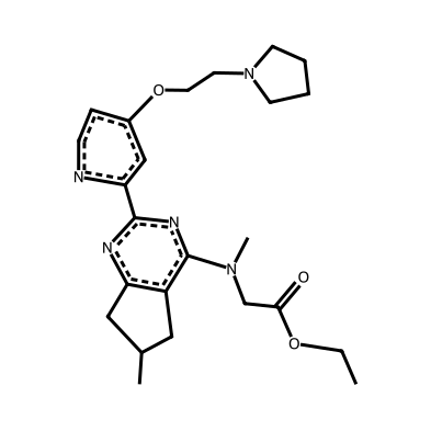 CCOC(=O)CN(C)c1nc(-c2cc(OCCN3CCCC3)ccn2)nc2c1CC(C)C2